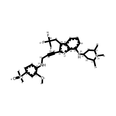 COc1cc(P(C)(C)=O)ccc1NCC#Cc1sc2c(NC3CC(C)N(C)C(C)C3)cccc2c1CC(F)(F)F